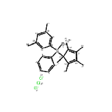 CCC(C)[Si](c1ccccc1)(c1cc(C)cc(C)c1)C1(C)C(C)=C(C)C(C)=[C]1[Ti+3].[Cl-].[Cl-].[Cl-]